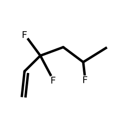 C=CC(F)(F)CC(C)F